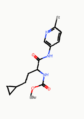 CCc1ccc(NC(=O)C(CCC2CC2)NC(=O)OC(C)(C)C)cn1